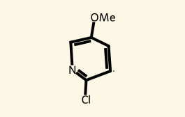 COc1c[c]c(Cl)nc1